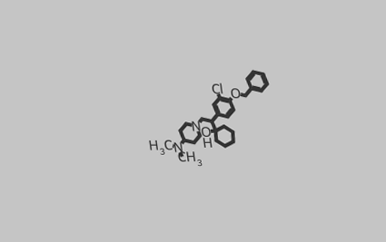 CN(C)C1CCN(CC(c2ccc(OCc3ccccc3)c(Cl)c2)C2(O)CCCCC2)CC1